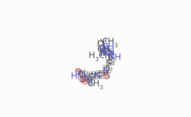 Cc1cccc(C)c1Nc1nn(C)c2nc(Nc3ccc(C4CCN(C(=O)C5CCN(c6ccc7c(c6)n(C)c(=O)n7C6CCC(=O)NC6=O)CC5)CC4)cc3)ncc12